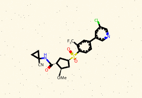 CO[C@@H]1C[C@H](S(=O)(=O)c2ccc(-c3cncc(Cl)c3)cc2C(F)(F)F)C[C@H]1C(=O)NC1(C#N)CC1